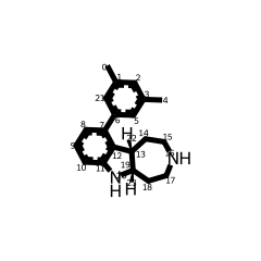 Cc1cc(C)cc(-c2cccc3c2[C@@H]2CCNCC[C@@H]2N3)c1